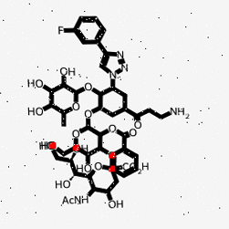 CC(=O)NC1C(O)CC(OC2C(O)C(CO)OC(OC3CC(C(=O)CCN)CC(n4cc(-c5cccc(F)c5)nn4)C3OC3OC(C)C(O)C(O)C3O)C2OC(=O)c2ccccc2)(C(=O)O)OC1[C@H](O)[C@H](O)CO